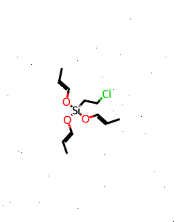 CC=CO[Si](CCCl)(OC=CC)OC=CC